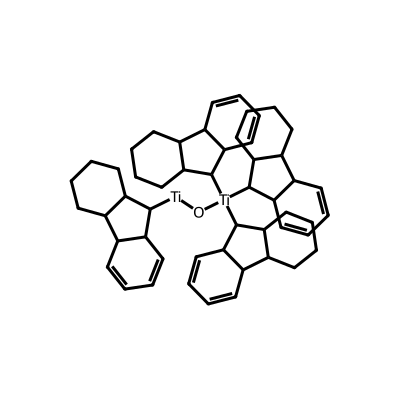 C1=CC2C(C=C1)[CH]([Ti][O][Ti]([CH]1C3C=CC=CC3C3CCCCC31)([CH]1C3C=CC=CC3C3CCCCC31)[CH]1C3C=CC=CC3C3CCCCC31)C1CCCCC21